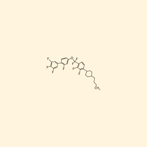 CCCCC1CCC(c2ccc(C(F)(F)Oc3ccc(-c4cc(F)c(F)c(F)c4)c(F)c3)c(F)c2F)CC1